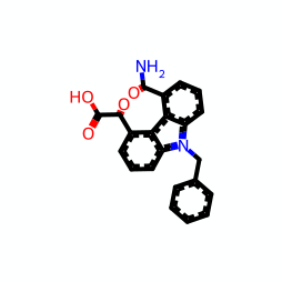 NC(=O)c1cccc2c1c1c(C(=O)C(=O)O)cccc1n2Cc1ccccc1